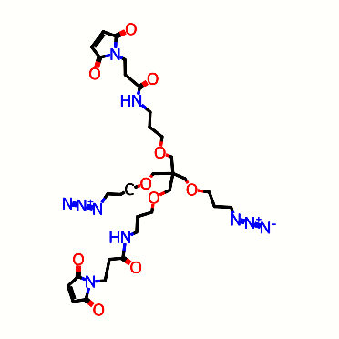 [N-]=[N+]=NCCCOCC(COCCCN=[N+]=[N-])(COCCCNC(=O)CCN1C(=O)C=CC1=O)COCCCNC(=O)CCN1C(=O)C=CC1=O